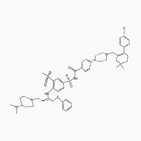 CN(C)C1CCN(CC[C@H](CSc2ccccc2)Nc2ccc(S(=O)(=O)NC(=O)c3ccc(N4CCN(CC5=C(c6ccc(Cl)cc6)CCC(C)(C)C5)CC4)cc3)cc2S(C)(=O)=O)CC1